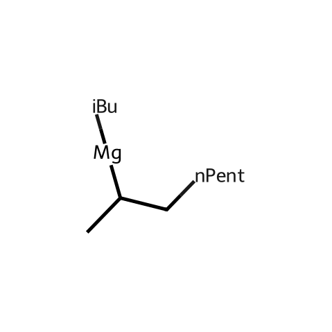 CCCCCC[CH](C)[Mg][CH](C)CC